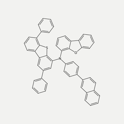 c1ccc(-c2cc(N(c3ccc(-c4ccc5ccccc5c4)cc3)c3cccc4c3oc3ccccc34)c3sc4c(-c5ccccc5)cccc4c3c2)cc1